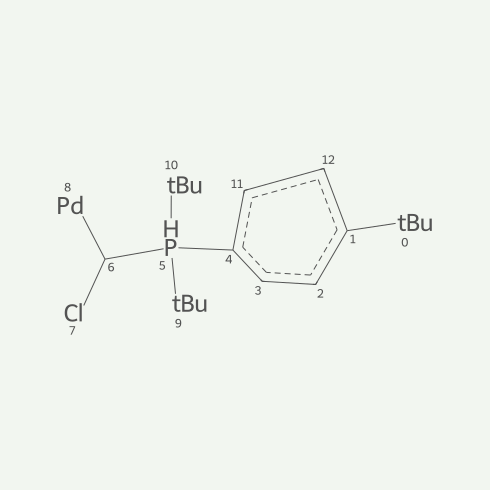 CC(C)(C)c1ccc([PH]([CH](Cl)[Pd])(C(C)(C)C)C(C)(C)C)cc1